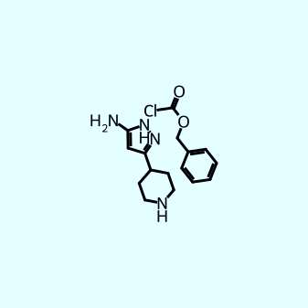 Nc1cc(C2CCNCC2)n[nH]1.O=C(Cl)OCc1ccccc1